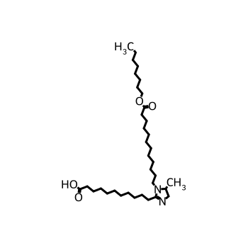 CCCCCCCCOC(=O)CCCCCCCCCCCN1C(CCCCCCCCCCC(=O)O)=NCC1C